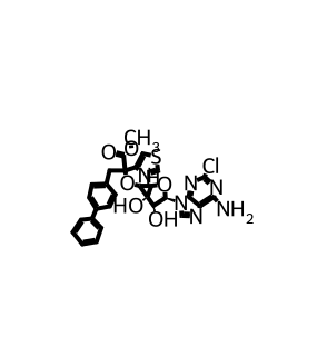 COC(=O)C(Cc1ccc(-c2ccccc2)cc1)(OC1[C@H]2O[C@@H](n3cnc4c(N)nc(Cl)nc43)[C@H](O)[C@@]12O)c1cscn1